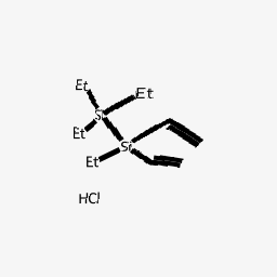 C=C[Si](C=C)(CC)[Si](CC)(CC)CC.Cl